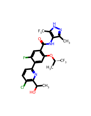 Cc1n[nH]c(C(F)(F)F)c1NC(=O)c1cc(F)c(-c2ccc(Cl)c(C(C)O)n2)cc1O[C@@H](C)C(F)(F)F